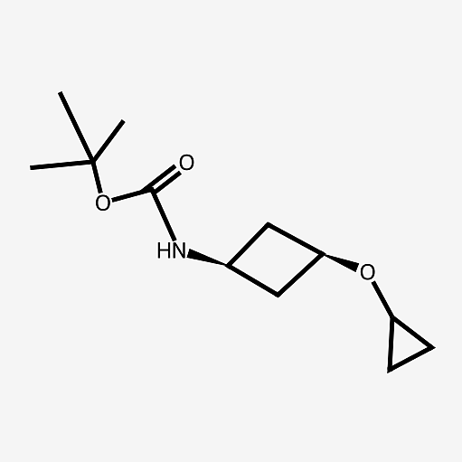 CC(C)(C)OC(=O)N[C@H]1C[C@@H](OC2CC2)C1